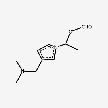 CC(OC=O)n1ccc(CN(C)C)c1